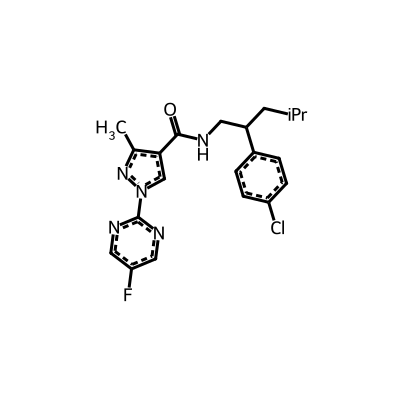 Cc1nn(-c2ncc(F)cn2)cc1C(=O)NCC(CC(C)C)c1ccc(Cl)cc1